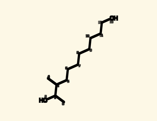 CC(O)C(C)CCCCCCCCO